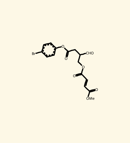 COC(=O)C=CC(=O)OCC(C=O)CC(=O)Oc1ccc(Br)cc1